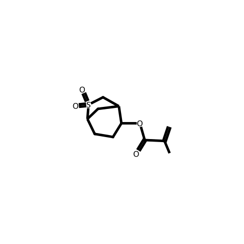 C=C(C)C(=O)OC1CCC2CC1CS2(=O)=O